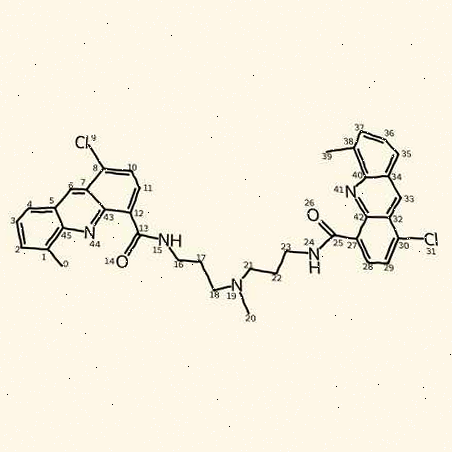 Cc1cccc2cc3c(Cl)ccc(C(=O)NCCCN(C)CCCNC(=O)c4ccc(Cl)c5cc6cccc(C)c6nc45)c3nc12